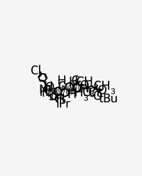 CC(C)C1=C2[C@H]3CC[C@@H]4[C@@]5(C)CC[C@H](OC(=O)CC(C)(C)C(=O)OC(C)(C)C)C(C)(C)[C@@H]5CC[C@@]4(C)[C@]3(C)CC[C@@]2(c2nnc(-c3ccc(Cl)cc3)o2)CC1